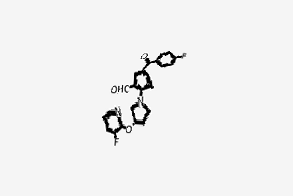 O=Cc1cc(C(=O)c2ccc(F)cc2)ccc1N1CC[C@H](Oc2ncccc2F)C1